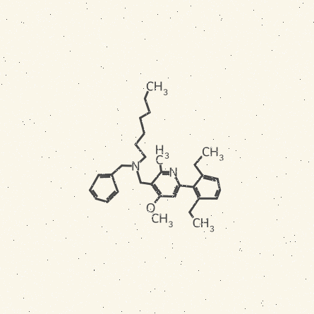 CCCCCCCN(Cc1ccccc1)Cc1c(OC)cc(-c2c(CC)cccc2CC)nc1C